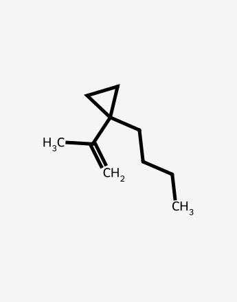 C=C(C)C1(CCCC)CC1